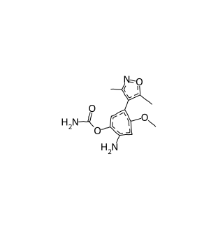 COc1cc(N)c(OC(N)=O)cc1-c1c(C)noc1C